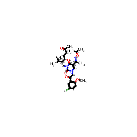 COc1ccc(F)cc1C(=O)Cn1cc(/C(C)=N/OC(C)C)c(=O)n(C[C@@H](CCCC(C)=O)C(C)C)c1=O